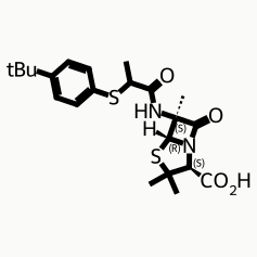 CC(Sc1ccc(C(C)(C)C)cc1)C(=O)N[C@@]1(C)C(=O)N2[C@@H](C(=O)O)C(C)(C)S[C@@H]21